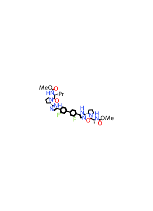 COC(=O)N[C@@H](C)C(=O)N1CCC[C@H]1c1ncc(-c2ccc(-c3ccc(-c4cnc([C@@H]5CCCN5C(=O)[C@@H](NC(=O)OC)C(C)C)[nH]4)c(F)c3)cc2F)[nH]1